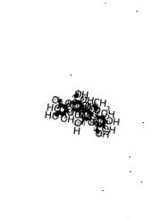 CC(=O)N[C@H]1[C@@H](O[C@@H]2O[C@H](CO)[C@H](O)[C@H](O)[C@H]2O)[C@H](O)[C@@H](CO)O[C@H]1[C@@]1(O)[C@@H](O)[C@H](O[C@@H]([C@H](O)[C@@H](O)C=O)[C@H](O)CO)O[C@H](CO)[C@@H]1O